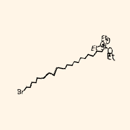 CCO[Si](CCCCCCCCCCCCCCCCCCCCBr)(OCC)OCC